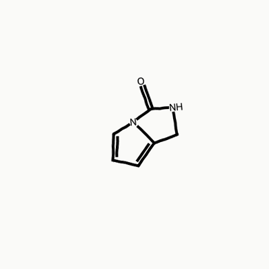 O=C1NCc2cccn21